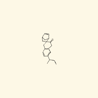 CCC(C)c1ccc2c(c1)CC(=O)C1(C2)CC2C=CC1C2